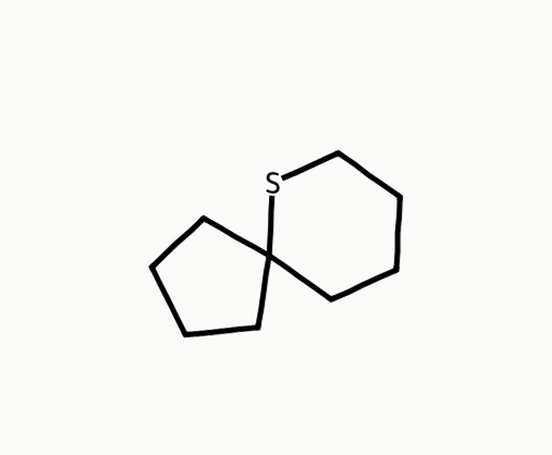 C1CCC2(CCCC2)SC1